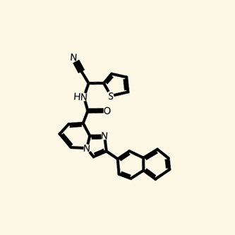 N#CC(NC(=O)c1cccn2cc(-c3ccc4ccccc4c3)nc12)c1cccs1